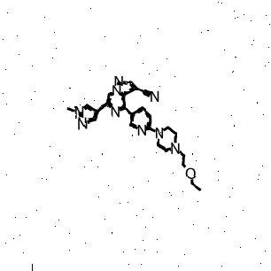 CCOCCN1CCN(c2ccc(-c3nc(-c4cnn(C)c4)cn4ncc(C#N)c34)cn2)CC1